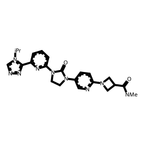 CNC(=O)C1CN(c2ccc(N3CCN(c4cccc(-c5nncn5C(C)C)n4)C3=O)cn2)C1